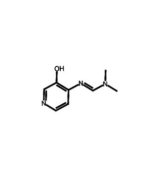 CN(C)C=Nc1ccncc1O